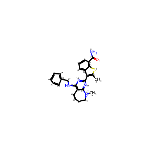 Cc1sc2c(C(N)=O)cccc2c1-c1nc(NCc2ccccc2)c2c(n1)N(C)CCCC2